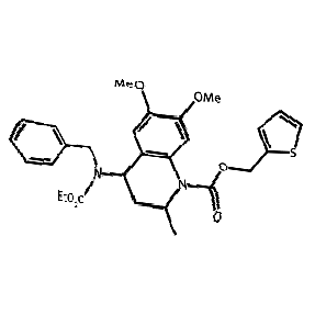 CCOC(=O)N(Cc1ccccc1)C1CC(C)N(C(=O)OCc2cccs2)c2cc(OC)c(OC)cc21